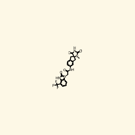 CN1C(=O)NC(=O)C12Cc1ccc(NC(=O)Cn3c(=O)[nH]c4c(C(F)(F)F)cccc43)cc1C2